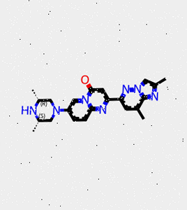 Cc1cn2nc(-c3cc(=O)n4cc(N5C[C@@H](C)N[C@@H](C)C5)ccc4n3)cc(C)c2n1